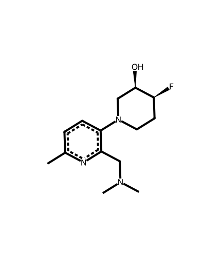 Cc1ccc(N2CC[C@H](F)[C@H](O)C2)c(CN(C)C)n1